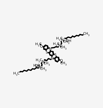 CCCCCCCCCC(O)C[N+](C)(C)CC[N+](C)(C)CCCCn1c2ccc(OC)cc2sc2cc3c(cc21)sc1cc(OC)ccc1n3CCCC[N+](C)(C)CC[N+](C)(C)CC(O)CCCCCCCCC